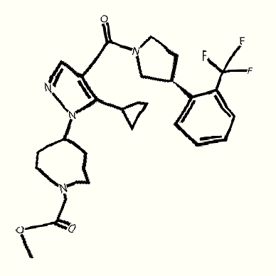 COC(=O)N1CCC(n2ncc(C(=O)N3CC[C@@H](c4ccccc4C(F)(F)F)C3)c2C2CC2)CC1